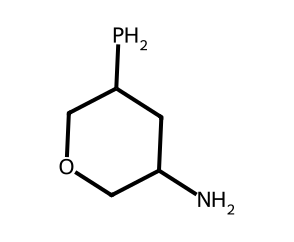 NC1COCC(P)C1